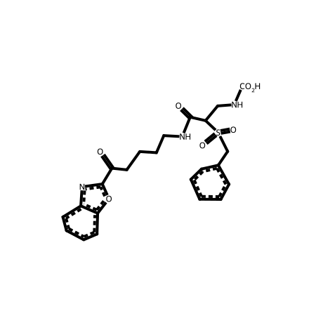 O=C(O)NCC(C(=O)NCCCCC(=O)c1nc2ccccc2o1)S(=O)(=O)Cc1ccccc1